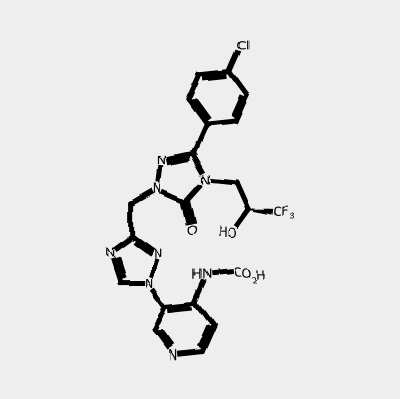 O=C(O)Nc1ccncc1-n1cnc(Cn2nc(-c3ccc(Cl)cc3)n(C[C@H](O)C(F)(F)F)c2=O)n1